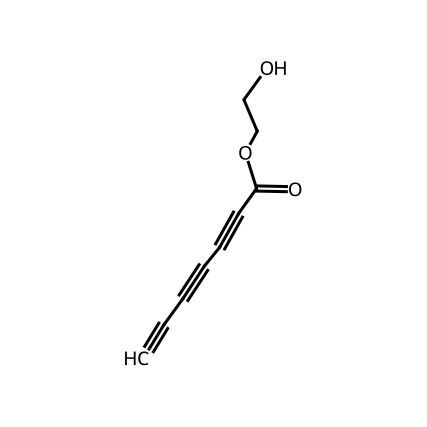 C#CC#CC#CC(=O)OCCO